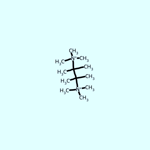 CC(C)(C(C)(C)[N+](C)(C)C)[N+](C)(C)C